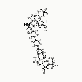 COC(=O)NC(C(=O)N1[C@@H](C)CC[C@H]1c1nc(-c2ccc(-c3ccc(-c4c[nH]c([C@@H]5CC[C@H](C)N5C(=O)C(NC(=O)OC)C5CCOC6(CC6)C5)n4)c(C)c3)cc2)c[nH]1)C1CCOC2(CC2)C1